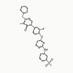 Cn1c(Cc2ccccc2)ncc(-c2ccc(Oc3ccnc(Nc4cccc(S(C)(=O)=O)c4)n3)c(F)c2)c1=O